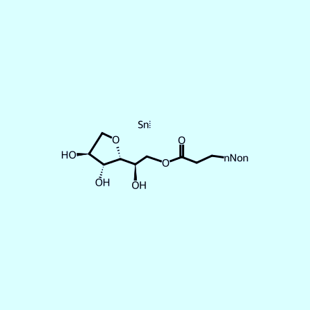 CCCCCCCCCCCC(=O)OC[C@@H](O)[C@H]1OC[C@H](O)[C@H]1O.[Sn]